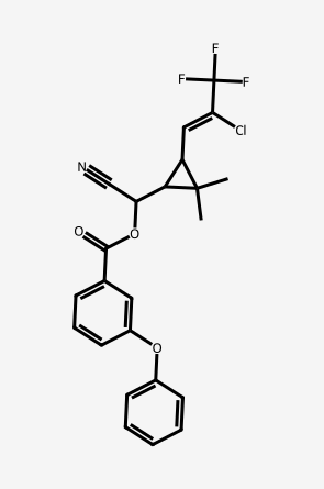 CC1(C)C(/C=C(\Cl)C(F)(F)F)C1C(C#N)OC(=O)c1cccc(Oc2ccccc2)c1